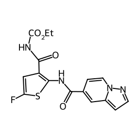 CCOC(=O)NC(=O)c1cc(F)sc1NC(=O)c1ccn2nccc2c1